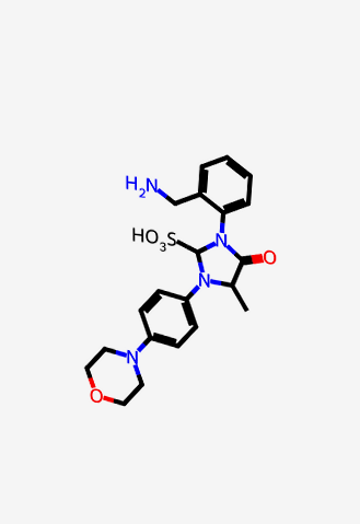 CC1C(=O)N(c2ccccc2CN)C(S(=O)(=O)O)N1c1ccc(N2CCOCC2)cc1